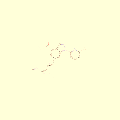 C=N/C=C(N)\C=C(/C)c1cc(C(N)=O)c2cnn(-c3cccc(C(F)(F)F)n3)c2c1